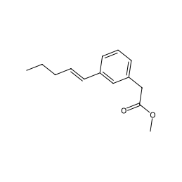 CCCC=Cc1cccc(CC(=O)OC)c1